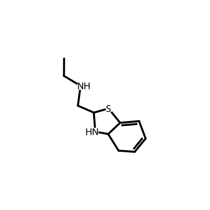 CCNCC1NC2CC=CC=C2S1